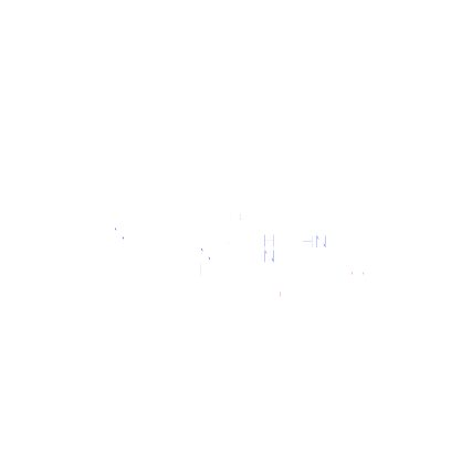 O=C(CNC(=O)[C@H]1COCCN1)NC(Cc1ccccn1)c1ccccc1